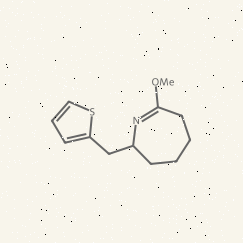 COC1=NC(Cc2cccs2)CCCC1